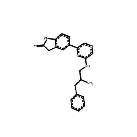 NC(CNc1cncc(-c2ccc3c(c2)CC(=O)N3)n1)Cc1ccccc1